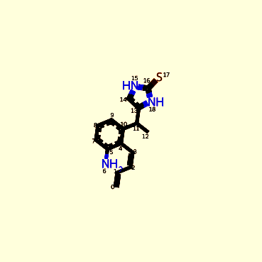 C=C/C=C\c1c(N)cccc1C(C)c1c[nH]c(=S)[nH]1